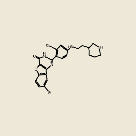 O=c1[nH]c(-c2ccc(NCCC3CCCNC3)cc2Cl)nc2c1oc1ccc(Br)cc12